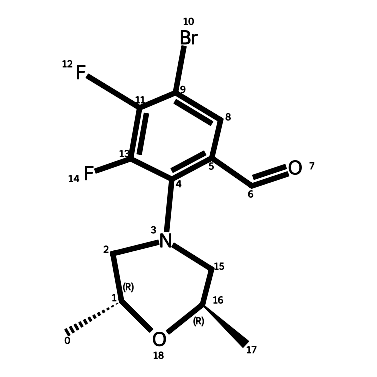 C[C@@H]1CN(c2c(C=O)cc(Br)c(F)c2F)C[C@@H](C)O1